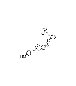 COC(=O)CCc1ccccc1OC[Si](C)(C)c1ccc(CN(CCc2ccc(O)cc2)C(C)=O)cc1